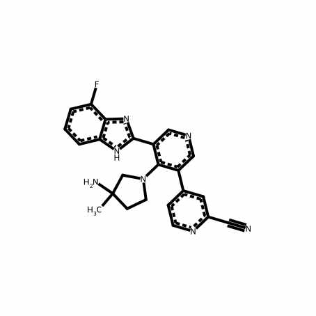 CC1(N)CCN(c2c(-c3ccnc(C#N)c3)cncc2-c2nc3c(F)cccc3[nH]2)C1